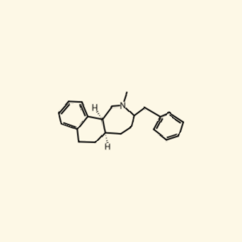 CN1C[C@@H]2c3ccccc3CC[C@@H]2CCC1Cc1ccccc1